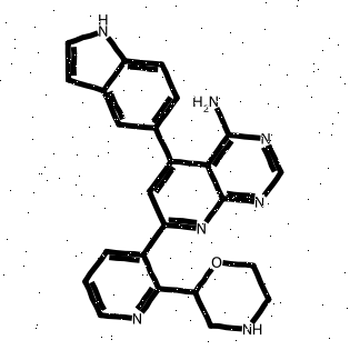 Nc1ncnc2nc(-c3cccnc3C3CNCCO3)cc(-c3ccc4[nH]ccc4c3)c12